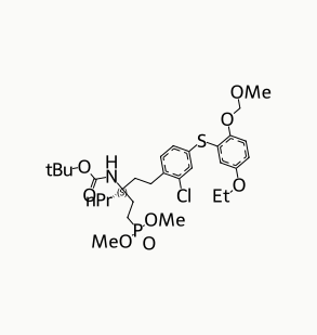 CCC[C@](CCc1ccc(Sc2cc(OCC)ccc2OCOC)cc1Cl)(CCP(=O)(OC)OC)NC(=O)OC(C)(C)C